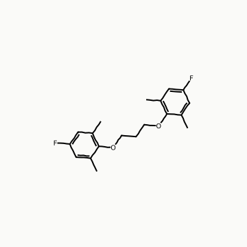 Cc1cc(F)cc(C)c1OCCCOc1c(C)cc(F)cc1C